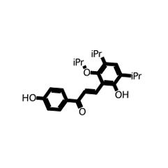 CC(C)Oc1c(C(C)C)cc(C(C)C)c(O)c1C=CC(=O)c1ccc(O)cc1